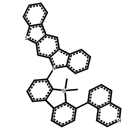 C[Si]1(C)c2c(cccc2-c2cccc3cnccc23)-c2cccc(-n3c4ccccc4c4cc5c(cc43)sc3ccccc35)c21